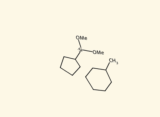 CC1CCCCC1.CO[Si](OC)C1CCCC1